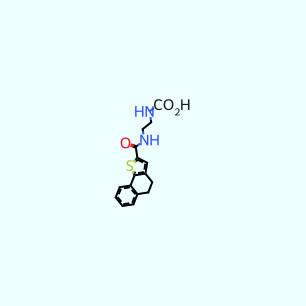 O=C(O)NCCNC(=O)c1cc2c(s1)-c1ccccc1CC2